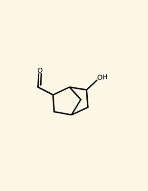 O=CC1CC2CC(O)C1C2